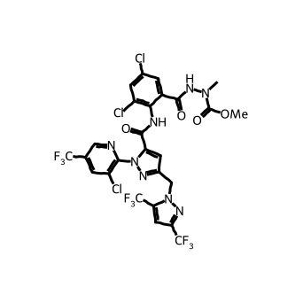 COC(=O)N(C)NC(=O)c1cc(Cl)cc(Cl)c1NC(=O)c1cc(Cn2nc(C(F)(F)F)cc2C(F)(F)F)nn1-c1ncc(C(F)(F)F)cc1Cl